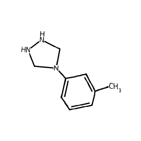 Cc1cccc(N2CNNC2)c1